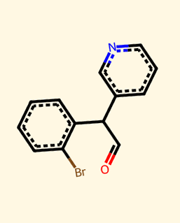 O=CC(c1cccnc1)c1ccccc1Br